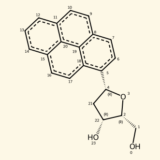 OC[C@H]1O[C@@H](c2ccc3ccc4cccc5ccc2c3c45)C[C@H]1O